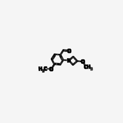 COc1ccc(C=O)c(N2CC(OC)C2)c1